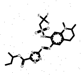 CCC(C)OC(=O)c1nnc(N=Nc2cc3c(cc2NS(=O)(=O)CC(F)(F)F)N(C)C(C)CC3)s1